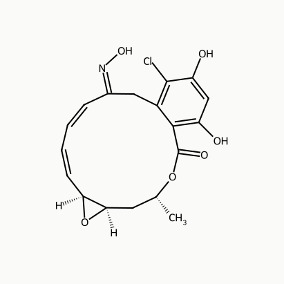 C[C@@H]1C[C@H]2O[C@H]2C=CC=CC(=NO)Cc2c(Cl)c(O)cc(O)c2C(=O)O1